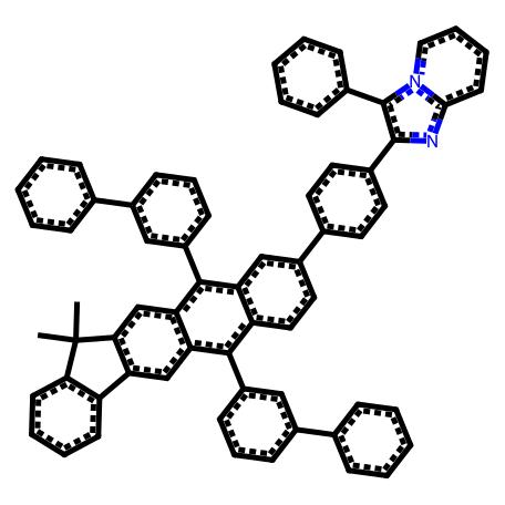 CC1(C)c2ccccc2-c2cc3c(-c4cccc(-c5ccccc5)c4)c4ccc(-c5ccc(-c6nc7ccccn7c6-c6ccccc6)cc5)cc4c(-c4cccc(-c5ccccc5)c4)c3cc21